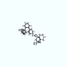 CCc1cc(OCc2ccc(-c3ccccc3-c3nnn[nH]3)nc2)c2c(n1)CCCC2